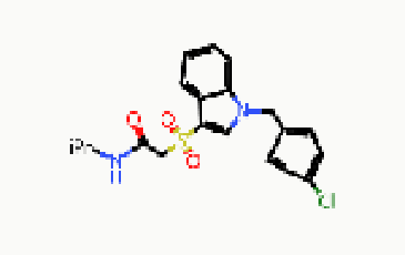 CC(C)NC(=O)CS(=O)(=O)c1cn(Cc2ccc(Cl)cc2)c2ccccc12